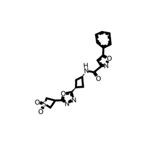 O=C(N[C@H]1C[C@H](c2nnc(C3CS(=O)(=O)C3)o2)C1)c1cc(-c2ccccc2)on1